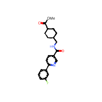 COC(=O)C1CCC(CNC(=O)c2ccc(-c3cccc(F)c3)nc2)CC1